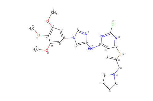 COc1cc(-n2cnc(Nc3nc(Cl)nc4sc(CN5CCCC5)cc34)c2)cc(OC)c1OC